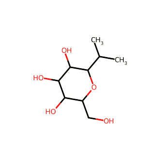 CC(C)C1OC(CO)C(O)C(O)C1O